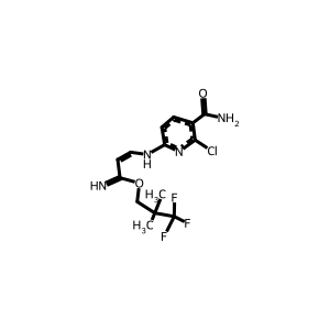 CC(C)(COC(=N)/C=C\Nc1ccc(C(N)=O)c(Cl)n1)C(F)(F)F